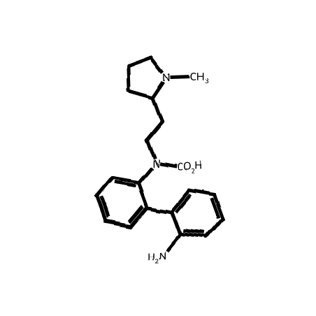 CN1CCCC1CCN(C(=O)O)c1ccccc1-c1ccccc1N